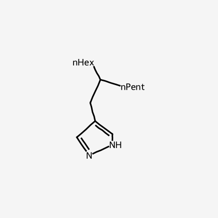 CCCCCCC(CCCCC)Cc1cn[nH]c1